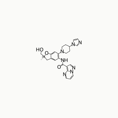 C[C@@]1(CO)Cc2cc(NC(=O)c3cnn4cccnc34)c(N3CCC(n4ccnc4)CC3)cc2O1